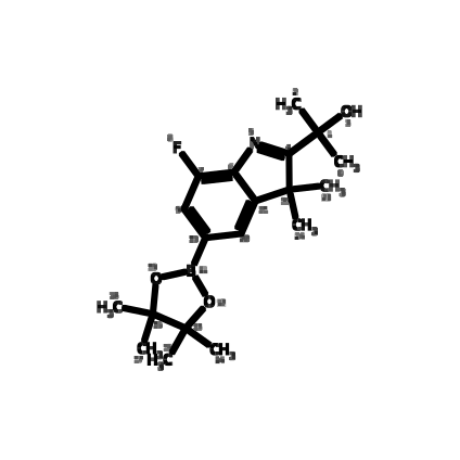 CC(C)(O)C1=Nc2c(F)cc(B3OC(C)(C)C(C)(C)O3)cc2C1(C)C